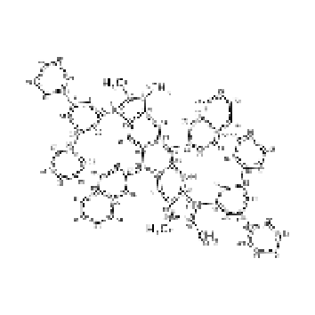 Cc1c(C)n(-c2cc(-c3ccccc3)cc(-c3ccccc3)c2)c2cc3c(-c4ccc5ccccc5c4)c4cc5c(C)c(C)n(-c6cc(-c7ccccc7)cc(-c7ccccc7)c6)c5cc4c(-c4ccc5ccccc5c4)c3cc12